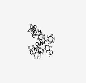 COc1ccc2c(c1)C1CNCC1(C(=O)N1C[C@@H](C)O[C@@H](C)C1)Cn1c-2c(C2CCCCC2)c2ccc(C(=O)NS(=O)(=O)N(C)C)cc21